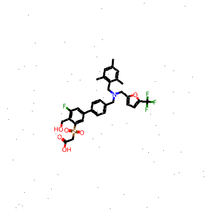 Cc1cc(C)c(CN(Cc2ccc(-c3cc(F)c(CO)c(S(=O)(=O)CC(=O)O)c3)cc2)Cc2ccc(C(F)(F)F)o2)c(C)c1